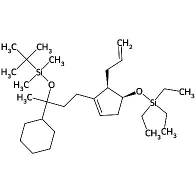 C=CC[C@@H]1C(CCC(C)(O[Si](C)(C)C(C)(C)C)C2CCCCC2)=CC[C@@H]1O[Si](CC)(CC)CC